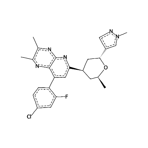 Cc1nc2nc([C@@H]3C[C@H](C)O[C@@H](c4cnn(C)c4)C3)cc(-c3ccc(Cl)cc3F)c2nc1C